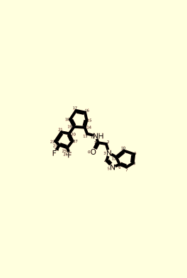 O=C(Cn1cnc2ccccc21)NCc1ccccc1-c1ccc(F)c(F)c1